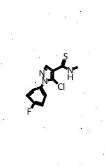 CNC(=S)c1cnn(-c2ccc(F)cc2)c1Cl